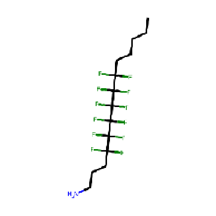 CCCCCC(F)(F)C(F)(F)C(F)(F)C(F)(F)C(F)(F)C(F)(F)CCCN